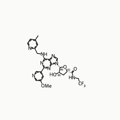 COc1cncc(-c2nc(NCc3cc(C)ccn3)c3ncn([C@@H]4O[C@H](C(=O)NCC(F)(F)F)C[C@H]4O)c3n2)c1